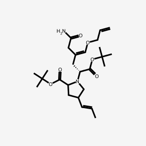 C=CCOC=C(CC(N)=O)C[C@H](C(=O)OC(C)(C)C)N1CC(C=CC)CC1C(=O)OC(C)(C)C